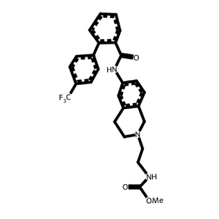 COC(=O)NCCN1CCc2cc(NC(=O)c3ccccc3-c3ccc(C(F)(F)F)cc3)ccc2C1